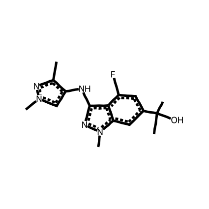 Cc1nn(C)cc1Nc1nn(C)c2cc(C(C)(C)O)cc(F)c12